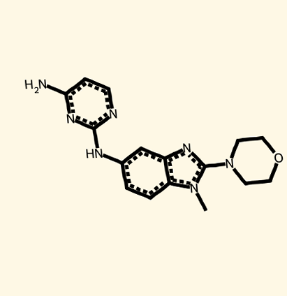 Cn1c(N2CCOCC2)nc2cc(Nc3nccc(N)n3)ccc21